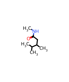 CNC(=O)CC(C)C(C)C